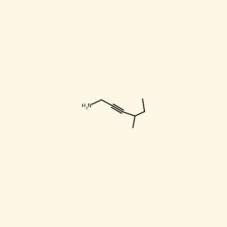 CCC(C)C#CCN